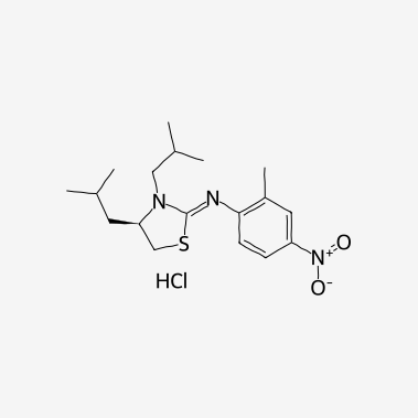 Cc1cc([N+](=O)[O-])ccc1N=C1SC[C@@H](CC(C)C)N1CC(C)C.Cl